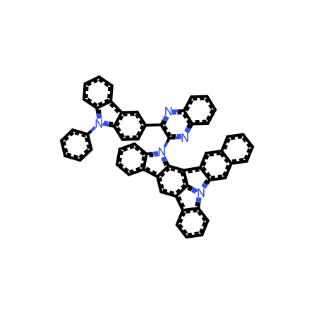 c1ccc(-n2c3ccccc3c3cc(-c4nc5ccccc5nc4-n4c5ccccc5c5cc6c7ccccc7n7c8cc9ccccc9cc8c(c54)c67)ccc32)cc1